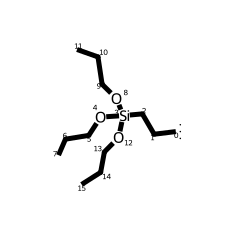 [C]CC[Si](OCCC)(OCCC)OCCC